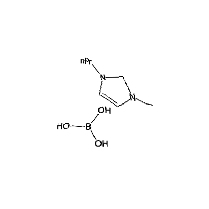 CCCN1C=CN(C)C1.OB(O)O